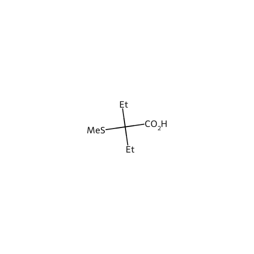 CCC(CC)(SC)C(=O)O